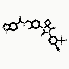 N#Cc1ncc(N2C(=O)C3(CCC3)N(c3ccc(CNC(=O)c4ccc5[nH]ncc5c4)c(F)c3)C2=S)cc1C(F)(F)F